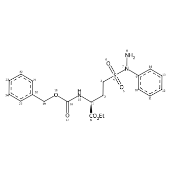 CCOC(=O)[C@H](CCS(=O)(=O)N(N)c1ccccc1)NC(=O)OCc1ccccc1